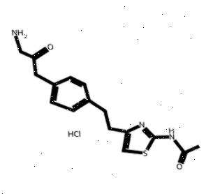 CC(=O)Nc1nc(CCc2ccc(CC(=O)CN)cc2)cs1.Cl